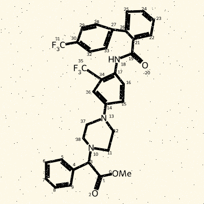 COC(=O)C(c1ccccc1)N1CCN(c2ccc(NC(=O)c3ccccc3-c3ccc(C(F)(F)F)cc3)c(C(F)(F)F)c2)CC1